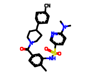 Cc1ccc(C(=O)N2CCC(c3ccc(C#N)cc3)CC2)cc1NS(=O)(=O)c1ccc(N(C)C)nc1